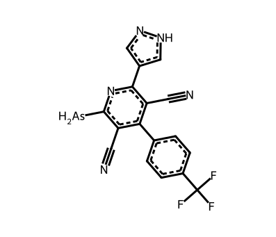 N#Cc1c([AsH2])nc(-c2cn[nH]c2)c(C#N)c1-c1ccc(C(F)(F)F)cc1